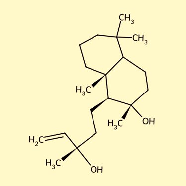 C=C[C@@](C)(O)CC[C@@H]1[C@@](C)(O)CCC2C(C)(C)CCC[C@]21C